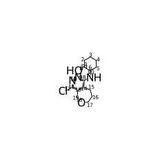 O[C@@H]1CCCC[C@H]1Nc1nnc(Cl)c2c1CCCOC2